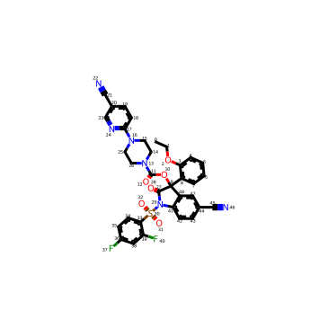 CCOc1ccccc1C1(OC(=O)N2CCN(c3ccc(C#N)cn3)CC2)C(=O)N(S(=O)(=O)c2ccc(F)cc2F)c2ccc(C#N)cc21